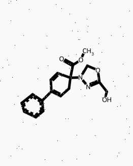 COC(=O)C1(N2COC(CO)=N2)C=CC(c2ccccc2)=CC1